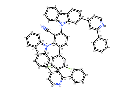 N#Cc1c(-n2c3ccccc3c3ccc(-c4ccnc(-c5ccccc5)c4)cc32)ccc(-c2cc(F)cc(F)c2)c1-n1c2ccccc2c2ccc(-c3ccnc(-c4ccccc4)c3)cc21